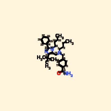 CCCCN(Cc1ccc(C(N)=O)cc1)Cc1c(C(C)(C)C)nc(-c2ccccc2)n1CCCC